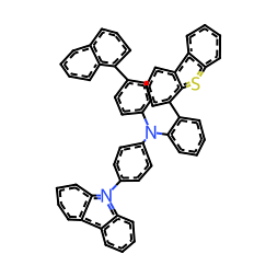 c1ccc(N(c2ccc(-c3cccc4ccccc34)cc2)c2ccc(-n3c4ccccc4c4ccccc43)cc2)c(-c2cccc3c2sc2ccccc23)c1